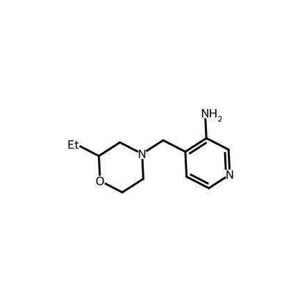 CCC1CN(Cc2ccncc2N)CCO1